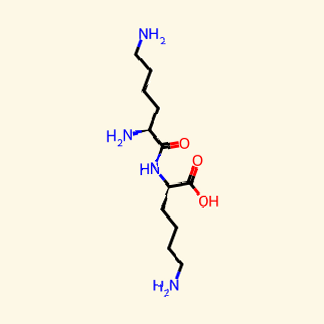 NCCCC[C@H](N)C(=O)N[C@H](CCCCN)C(=O)O